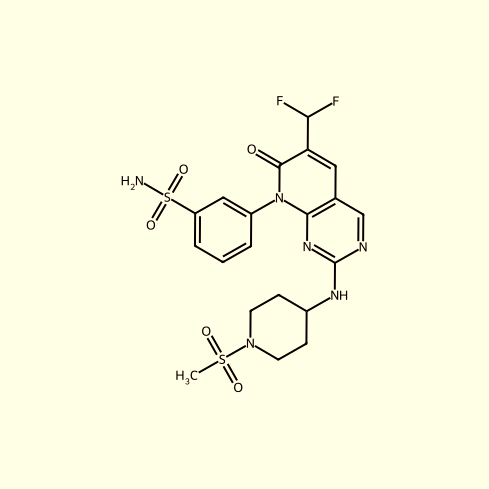 CS(=O)(=O)N1CCC(Nc2ncc3cc(C(F)F)c(=O)n(-c4cccc(S(N)(=O)=O)c4)c3n2)CC1